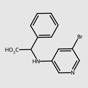 O=C(O)C(Nc1cncc(Br)c1)c1ccccc1